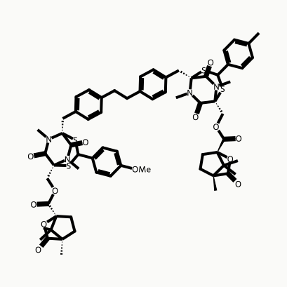 COc1ccc(C2S[C@@]3(COC(=O)[C@@]45CC[C@@](C)(C(=O)O4)C5(C)C)C(=O)N(C)[C@@](Cc4ccc(CCc5ccc(C[C@@]67SC(c8ccc(C)cc8)S[C@@](COC(=O)[C@@]89CC[C@@](C)(C(=O)O8)C9(C)C)(C(=O)N6C)N(C)C7=O)cc5)cc4)(S2)C(=O)N3C)cc1